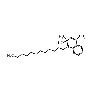 CCCCCCCCCCCCN1c2ccccc2C(C)=CC1(C)C